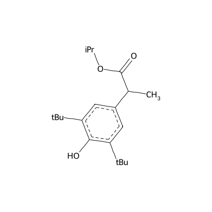 CC(C)OC(=O)C(C)c1cc(C(C)(C)C)c(O)c(C(C)(C)C)c1